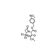 CC=C([O-])C(C(=O)OCc1ccc([N+](=O)[O-])cc1)N1C(=O)CC1[N+](CC)(CC)CC